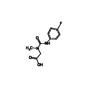 CN(CC(=O)O)C(=O)Nc1ccc(F)cc1